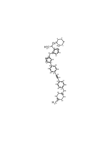 CC(OC1CCCCO1)c1nccn1Cc1cc(-c2ccc(C#Cc3ccc(CN4CCN(C)CC4)cc3)cc2)on1